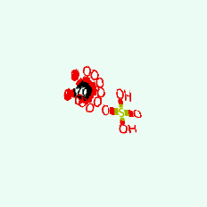 O=S(=O)(O)O.[O]=[Zr](=[O])(=[O])(=[O])(=[O])(=[O])(=[O])(=[O])(=[O])(=[O])(=[O])=[O]